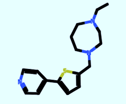 CCN1CCCN(Cc2ccc(-c3ccncc3)s2)CC1